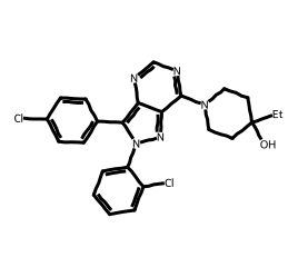 CCC1(O)CCN(c2ncnc3c(-c4ccc(Cl)cc4)n(-c4ccccc4Cl)nc23)CC1